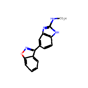 O=C(O)Nc1nc2cc(-c3noc4ccccc34)ccc2[nH]1